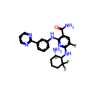 NC(=O)c1cc(F)c(NC2[C@@H](N)CCCC2(F)F)nc1Nc1cccc(-c2ncccn2)c1